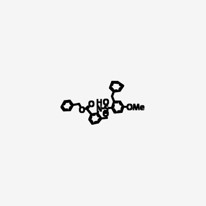 COc1ccc(S(=O)(=O)Nc2c(C)cccc2C(=O)OCc2ccccc2)c(Cc2ccccc2)c1